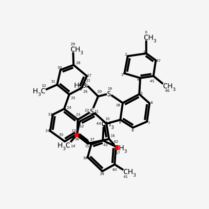 Cc1ccc(-c2cccc(-c3ccc(C)cc3C)c2S[CH]([BiH2])Sc2c(-c3ccc(C)cc3C)cccc2-c2ccc(C)cc2C)c(C)c1